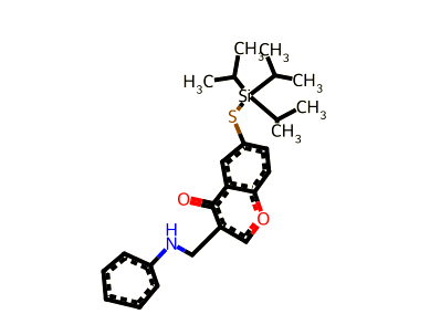 CC(C)[Si](Sc1ccc2occ(CNc3ccccc3)c(=O)c2c1)(C(C)C)C(C)C